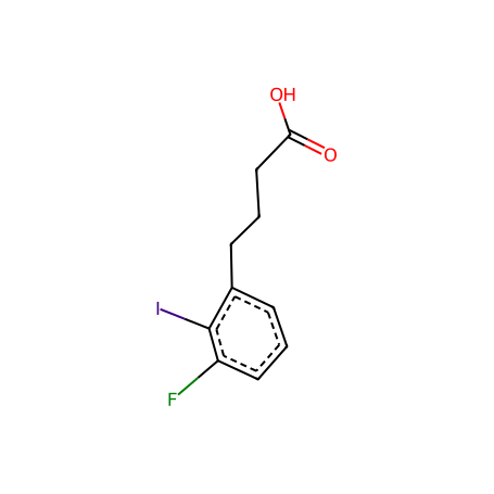 O=C(O)CCCc1cccc(F)c1I